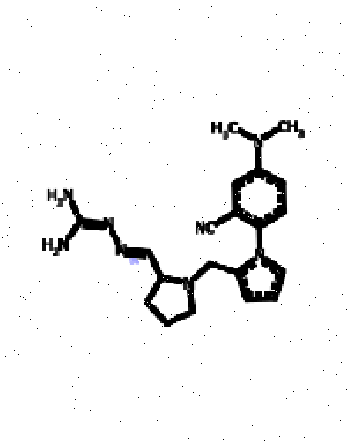 CN(C)c1ccc(-n2cccc2CN2CCCC2/C=N/N=C(N)N)c(C#N)c1